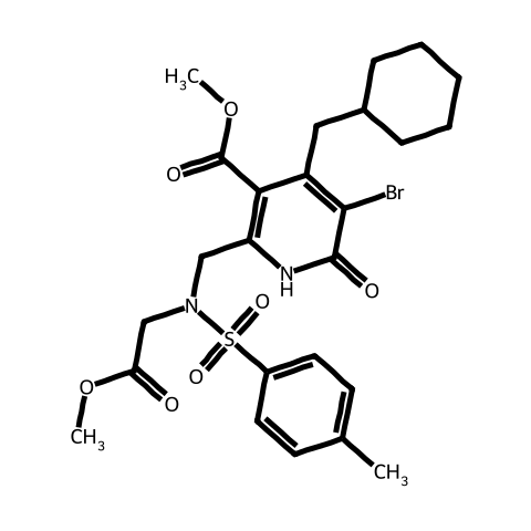 COC(=O)CN(Cc1[nH]c(=O)c(Br)c(CC2CCCCC2)c1C(=O)OC)S(=O)(=O)c1ccc(C)cc1